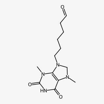 CN1CN(CCCCCC=O)c2c1c(=O)[nH]c(=O)n2C